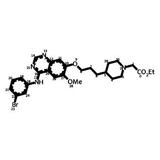 CCOC(=O)CN1CCC(CCCOc2cc3ncnc(Nc4cccc(Br)c4)c3cc2OC)CC1